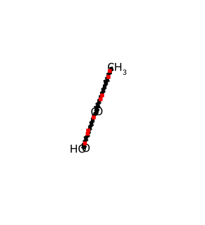 CCCCCCCCC=CCCCCCCCCCCCCCC(=O)OCCCCCCCCCCCCCCCCCCC(=O)O